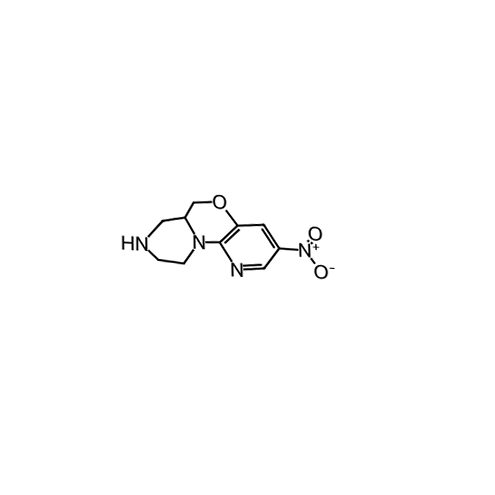 O=[N+]([O-])c1cnc2c(c1)OCC1CNCCN21